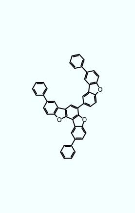 c1ccc(-c2ccc3oc4ccc(-c5cc6c7cc(-c8ccccc8)ccc7oc6c6c5oc5ccc(-c7ccccc7)cc56)cc4c3c2)cc1